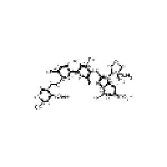 COc1cc(Cl)ncc1COc1nc(-c2cc(F)c(Cc3nc4c(F)cc(C(=O)O)cc4n3C3COCC3(C)C)c(F)c2F)ccc1F